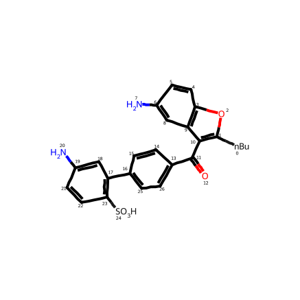 CCCCc1oc2ccc(N)cc2c1C(=O)c1ccc(-c2cc(N)ccc2S(=O)(=O)O)cc1